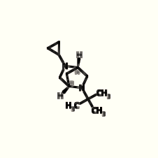 CC(C)(C)N1C[C@@H]2C[C@H]1CN2C1CC1